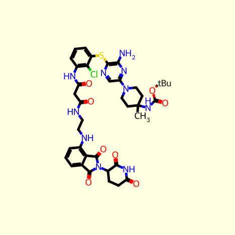 CC1(NC(=O)OC(C)(C)C)CCN(c2cnc(Sc3cccc(NC(=O)CC(=O)NCCNc4cccc5c4C(=O)N(C4CCC(=O)NC4=O)C5=O)c3Cl)c(N)n2)CC1